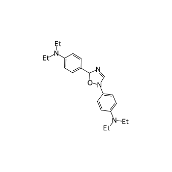 CCN(CC)c1ccc(C2N=CN(c3ccc(N(CC)CC)cc3)O2)cc1